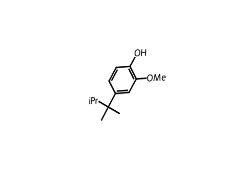 COc1cc(C(C)(C)C(C)C)ccc1O